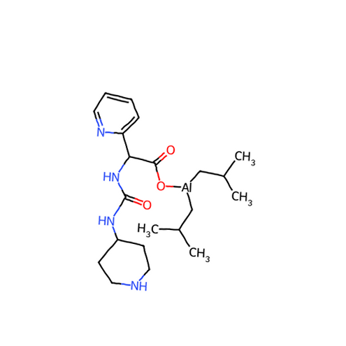 CC(C)[CH2][Al]([CH2]C(C)C)[O]C(=O)C(NC(=O)NC1CCNCC1)c1ccccn1